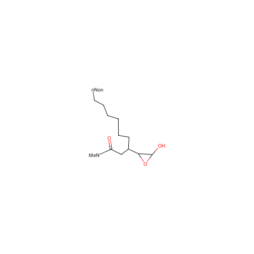 CCCCCCCCCCCCCCCC(CC(=O)NC)C1OC1O